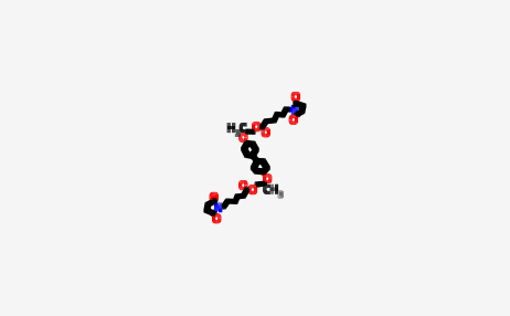 CC(COC(=O)CCCCCN1C(=O)C=CC1=O)Oc1ccc(-c2ccc(OC(C)COC(=O)CCCCCN3C(=O)C=CC3=O)cc2)cc1